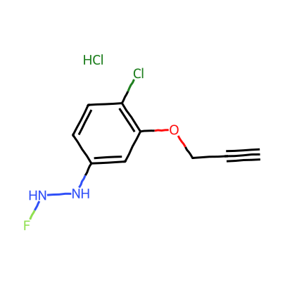 C#CCOc1cc(NNF)ccc1Cl.Cl